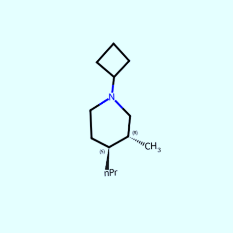 CCC[C@H]1CCN(C2CCC2)C[C@@H]1C